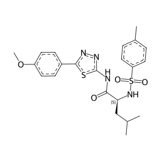 COc1ccc(-c2nnc(NC(=O)[C@H](CC(C)C)NS(=O)(=O)c3ccc(C)cc3)s2)cc1